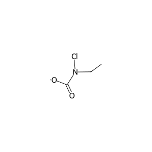 CCN(Cl)C([O])=O